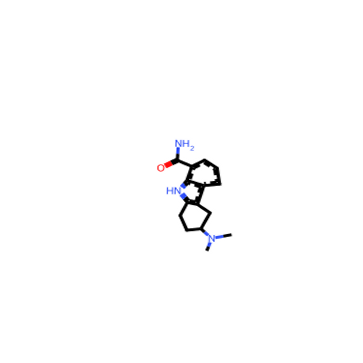 CN(C)C1CCc2[nH]c3c(C(N)=O)cccc3c2C1